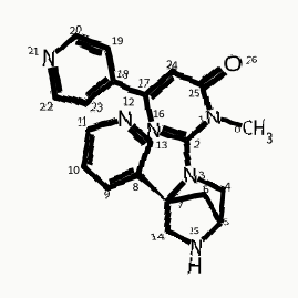 Cn1c(N2CC3C[C@]2(c2cccnc2)CN3)nc(-c2ccncc2)cc1=O